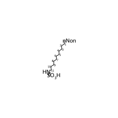 CCCCCCCCCCCCCCCCCCCCNS(=O)(=O)O